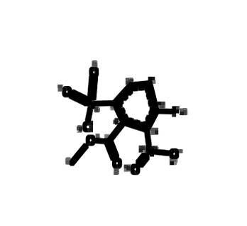 COC(=O)c1c(S(=O)(=O)Cl)ccc(F)c1[N+](=O)[O-]